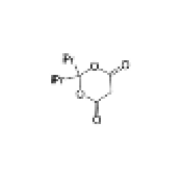 CC(C)C1(C(C)C)OC(=O)CC(=O)O1